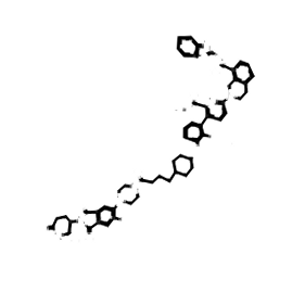 Cc1c(OC2CCC(CCCC(=O)N3CCN(c4cc5c(cc4F)C(=O)N(C4CCC(=O)NC4=O)C5=O)CC3)CC2)cccc1-c1ccc(N2CCc3cccc(C(=O)Nc4nc5ccccc5s4)c3C2)nc1C(=O)OC(C)(C)C